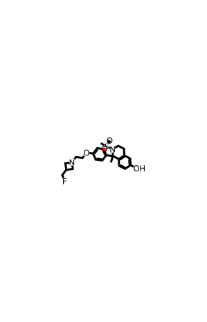 CC1(c2ccc(OCCN3CC(CF)C3)cc2)c2ccc(O)cc2CCN1S(C)(=O)=O